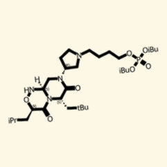 CC(C)COP(=O)(OCCCCN1CC[C@@H](N2C[C@@H]3NO[C@H](CC(C)C)C(=O)N3[C@@H](CC(C)(C)C)C2=O)C1)OCC(C)C